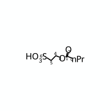 CCCC(=O)OCCS(=O)(=O)O